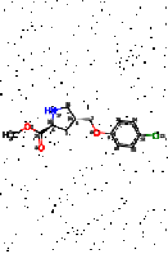 COC(=O)[C@@H]1C[C@@H](COc2ccc(Cl)cc2)CN1